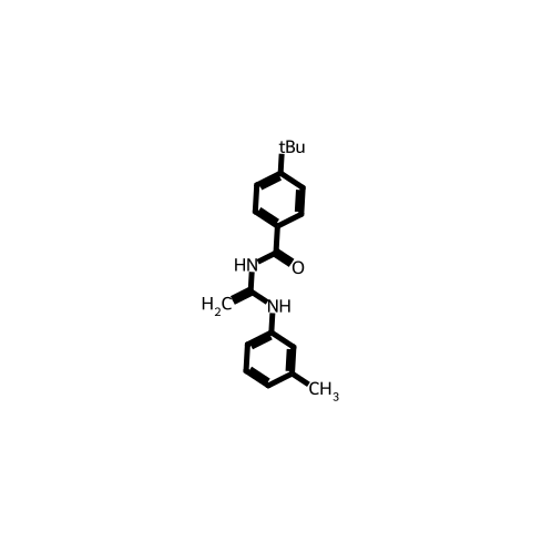 C=C(NC(=O)c1ccc(C(C)(C)C)cc1)Nc1cccc(C)c1